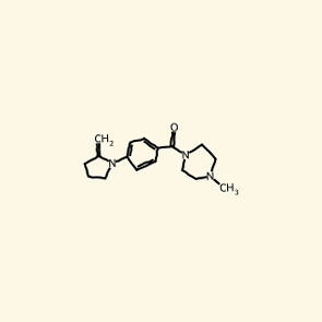 C=C1CCCN1c1ccc(C(=O)N2CCN(C)CC2)cc1